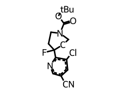 CC(C)(C)OC(=O)N1CCC(F)(c2ncc(C#N)cc2Cl)CC1